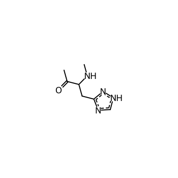 CNC(Cc1nc[nH]n1)C(C)=O